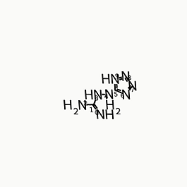 N=C(N)NN.c1nnn[nH]1